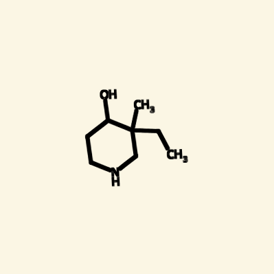 CCC1(C)CNCCC1O